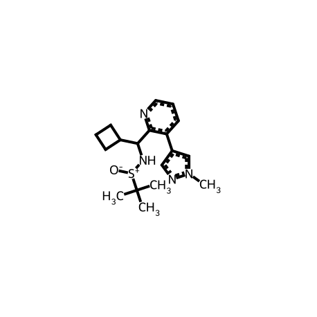 Cn1cc(-c2cccnc2C(N[S+]([O-])C(C)(C)C)C2CCC2)cn1